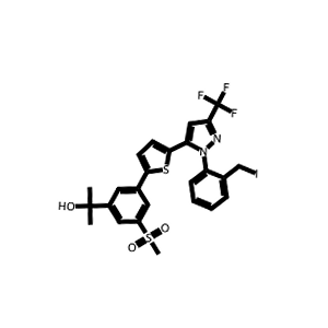 CC(C)(O)c1cc(-c2ccc(-c3cc(C(F)(F)F)nn3-c3ccccc3CI)s2)cc(S(C)(=O)=O)c1